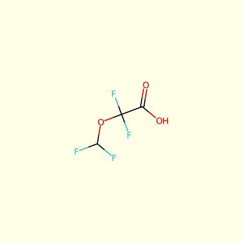 O=C(O)C(F)(F)OC(F)F